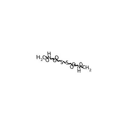 C=CC(=O)NCCOC(=O)CCSCCSCCC(=O)OCCNC(=O)C=C